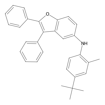 Cc1cc(C(C)(C)C)ccc1Nc1ccc2oc(-c3ccccc3)c(-c3ccccc3)c2c1